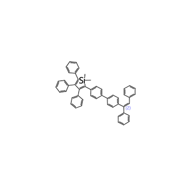 C[Si]1(C)C(c2ccccc2)=C(c2ccccc2)C(c2ccccc2)=C1c1ccc(-c2ccc(/C(=C\c3ccccc3)c3ccccc3)cc2)cc1